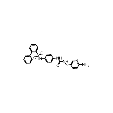 Nc1ccc(CNC(=O)Nc2ccc(NS(=O)(=O)c3ccccc3-c3ccccc3)cc2)cn1